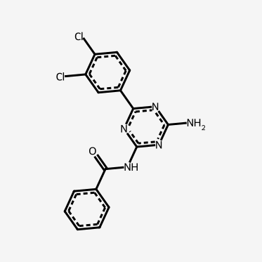 Nc1nc(NC(=O)c2ccccc2)nc(-c2ccc(Cl)c(Cl)c2)n1